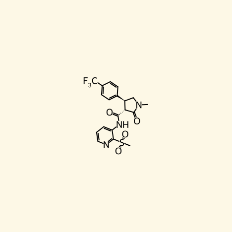 CN1C[C@H](c2ccc(C(F)(F)F)cc2)[C@@H](C(=O)Nc2cccnc2S(C)(=O)=O)C1=O